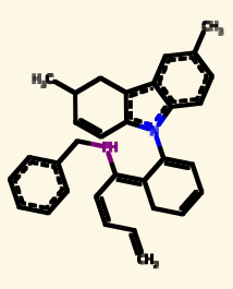 C=C/C=C\C(PCc1ccccc1)=C1/CC=CC=C1n1c2c(c3cc(C)ccc31)CC(C)C=C2